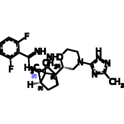 Cc1n[nH]c(N2CCO[C@@H]([C@@]34CC[C@@H](/C(=C/C(=N)c5c(F)cccc5F)C3=N)C4(C)C)C2)n1